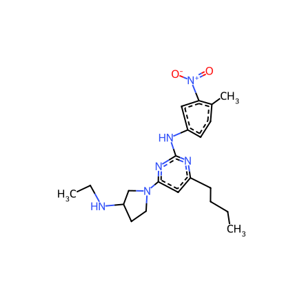 CCCCc1cc(N2CCC(NCC)C2)nc(Nc2ccc(C)c([N+](=O)[O-])c2)n1